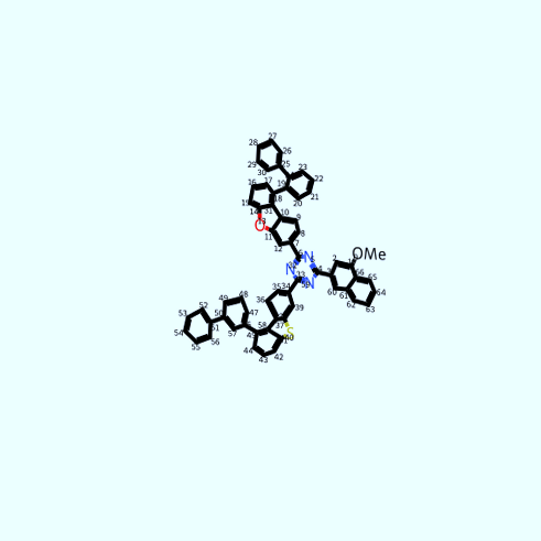 COc1cc(-c2nc(-c3ccc4c(c3)oc3cccc(-c5ccccc5-c5ccccc5)c34)nc(-c3ccc4c(c3)sc3cccc(-c5cccc(-c6ccccc6)c5)c34)n2)cc2ccccc12